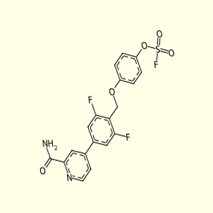 NC(=O)c1cc(-c2cc(F)c(COc3ccc(OS(=O)(=O)F)cc3)c(F)c2)ccn1